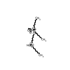 CCCCCCCCOP(=O)(O)OCCCCCCCC.CCCCCCCCOP(=O)(O)OCCCCCCCC.[O]=[Zr]1[O]CC[O]1